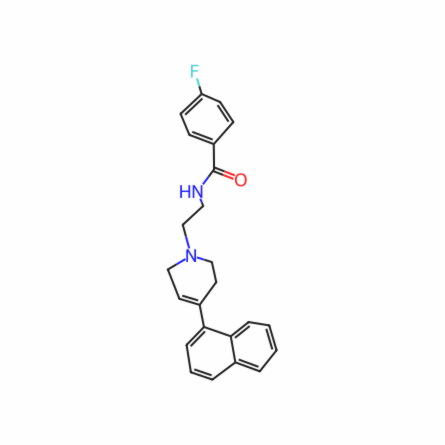 O=C(NCCN1CC=C(c2cccc3ccccc23)CC1)c1ccc(F)cc1